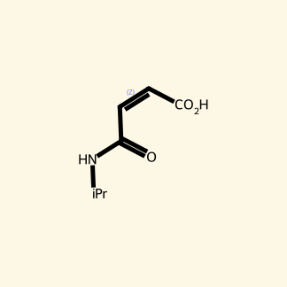 CC(C)NC(=O)/C=C\C(=O)O